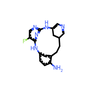 Nc1ccc2cc1CCC1C=NC=C(C1)Nc1ncc(F)c(n1)N2